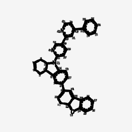 C1=CCC2C(C1)c1cc(C3=CCC4Oc5ccccc5C4=C3)ccc1N2c1ccc(-c2cc(-c3ccccc3)ccn2)cn1